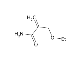 C=C(COCC)C(N)=O